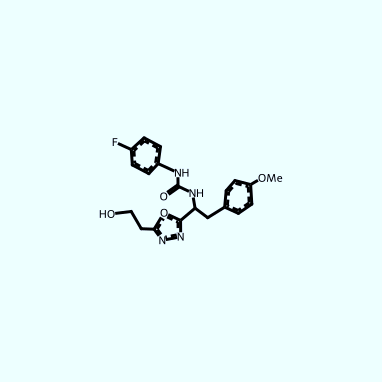 COc1ccc(CC(NC(=O)Nc2ccc(F)cc2)c2nnc(CCO)o2)cc1